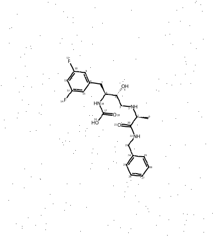 C[C@H](NC[C@@H](O)[C@H](Cc1cc(F)cc(F)c1)NC(=O)O)C(=O)NCc1ccccc1